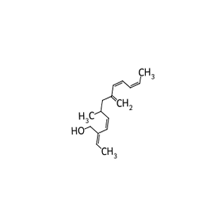 C=C(/C=C\C=C/C)CC(C)/C=C\C(=C/C)CO